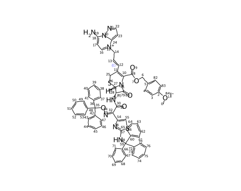 COc1ccc(COC(=O)C2=C(/C=C/C[n+]3ccc(N)n4nccc43)CS[C@H]3[C@H](NC(=O)C(=NOC(c4ccccc4)(c4ccccc4)c4ccccc4)c4csc(NC(c5ccccc5)(c5ccccc5)c5ccccc5)n4)C(=O)N23)cc1.[I-]